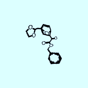 O=C(OCc1ccccc1)C(=O)C1CC2(C3OCCO3)C=CC1O2